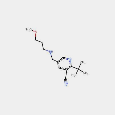 COCCCNCc1cnc(C(C)(C)C)c(C#N)c1